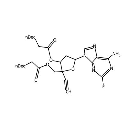 C#CC1(COC(=O)CCCCCCCCCCC)OC(n2cnc3c(N)nc(F)nc32)CC1OC(=O)CCCCCCCCCCC